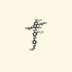 O=S(=O)(O)c1cc(SOOO)c2c(O)c(/N=N/c3ccc(/N=N/c4ccc(SOOO)cc4)cc3S(=O)(=O)O)c(SOOO)cc2c1